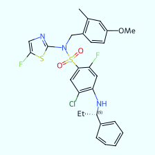 CC[C@H](Nc1cc(F)c(S(=O)(=O)N(Cc2ccc(OC)cc2C)c2ncc(F)s2)cc1Cl)c1ccccc1